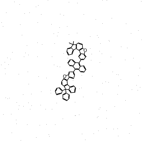 CC1(C)c2ccccc2-c2c1ccc1oc3ccc(-c4c5ccccc5c(-c5ccc6c(c5)oc5ccc7c(c56)-c5ccccc5C7(c5ccccc5)c5ccccc5)c5ccccc45)cc3c21